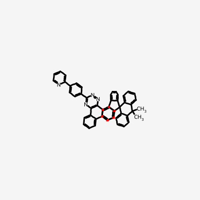 CC1(C)c2ccccc2C2(c3ccccc3-c3c(-c4nnc(-c5ccc(-c6ccccn6)cc5)nc4-c4ccccc4-c4ccccc4)cccc32)c2ccccc21